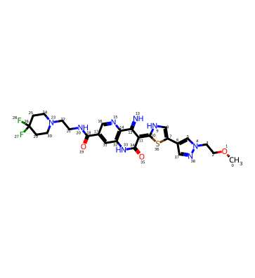 COCCn1cc(C2=CN/C(=C3\C(=N)c4ncc(C(=O)NCCN5CCC(F)(F)CC5)cc4NC3=O)S2)cn1